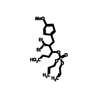 C=CCOP(=O)(OCC=C)OC(CCC(=O)O)C(Cc1ccc(OC)cc1)N(CC)CC